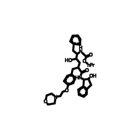 CCCOC(=O)NC(Cc1ccccc1)C(O)CC(Cc1ccc(OCCN2CCOCC2)cc1)C(=O)NC1c2ccccc2CC1O